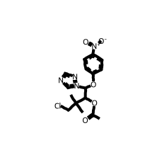 CC(=O)OC(C(Oc1ccc([N+](=O)[O-])cc1)n1cncn1)C(C)(C)CCl